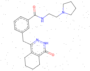 O=C(NCCN1CCCC1)c1cccc(Cc2n[nH]c(=O)c3c2CCCC3)c1